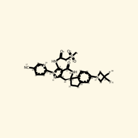 CS(=O)(=O)CC(=O)Nc1c2c(nn1-c1ccc(C#N)cn1)C[C@@]1(CCc3cc(N4CC(F)(F)C4)ccc31)NC2=O